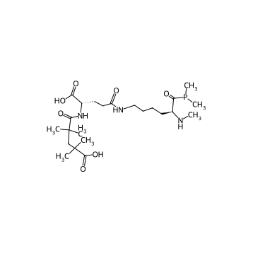 CN[C@@H](CCCCNC(=O)CC[C@H](NC(=O)C(C)(C)CC(C)(C)C(=O)O)C(=O)O)C(=O)P(C)C